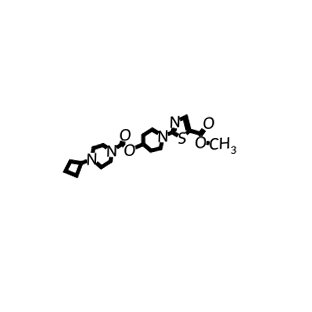 COC(=O)c1cnc(N2CCC(OC(=O)N3CCN(C4CCC4)CC3)CC2)s1